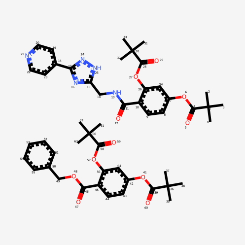 CC(C)(C)C(=O)Oc1ccc(C(=O)NCc2nc(-c3ccncc3)n[nH]2)c(OC(=O)C(C)(C)C)c1.CC(C)(C)C(=O)Oc1ccc(C(=O)OCc2ccccc2)c(OC(=O)C(C)(C)C)c1